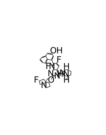 Oc1cc(-c2nc3nc(OC[C@@]45CCCN4C[C@H](F)C5)nc(N4C[C@H]5CC[C@@H](C4)N5)c3cc2F)c2c(F)cccc2c1